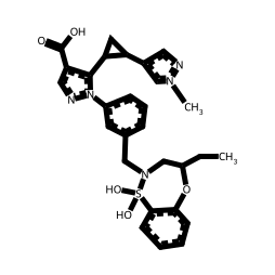 CCC1CN(Cc2cccc(-n3ncc(C(=O)O)c3C3CC3c3cnn(C)c3)c2)S(O)(O)c2ccccc2O1